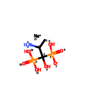 CC(N)C(O)(P(=O)([O-])O)P(=O)(O)O.[Na+]